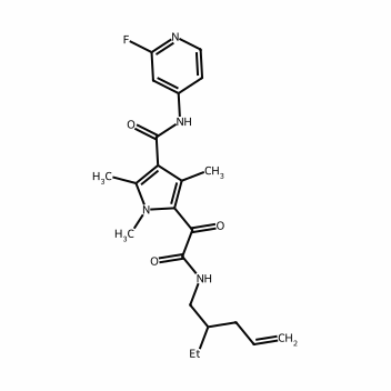 C=CCC(CC)CNC(=O)C(=O)c1c(C)c(C(=O)Nc2ccnc(F)c2)c(C)n1C